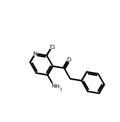 Nc1ccnc(Cl)c1C(=O)Cc1ccccc1